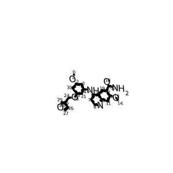 COc1cc(Nc2ccnc3cc(OC)c(C(N)=O)cc23)cc(OCc2ccoc2)c1